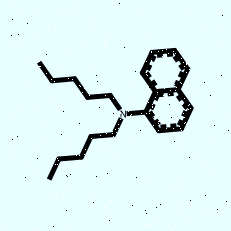 CCCCCN(CCCCC)c1cccc2ccccc12